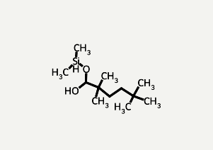 C[SiH](C)OC(O)C(C)(C)CCC(C)(C)C